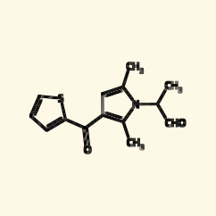 Cc1cc(C(=O)c2cccs2)c(C)n1C(C)C=O